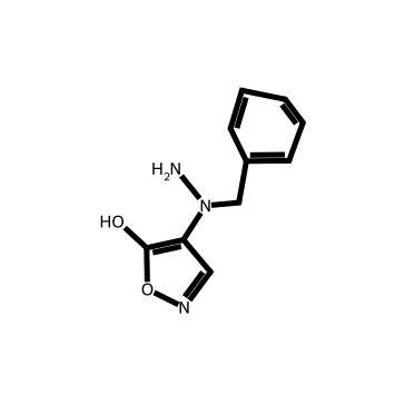 NN(Cc1ccccc1)c1cnoc1O